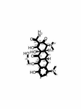 CCO.CN(C)c1ccc(O)c2c1C[C@H]1C[C@H]3[C@H](N(C)C)C(=O)C(C(N)=O)=C(O)[C@@]3(O)C(=O)C1=C2O